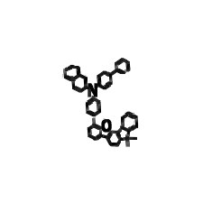 CC1(C)c2ccccc2-c2c1ccc1c2oc2c(-c3ccc(N(c4ccc(-c5ccccc5)cc4)c4ccc5ccccc5c4)cc3)cccc21